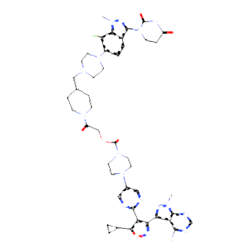 CC(C)n1nc(-c2noc(C3CC3)c2-c2ncc(N3CCN(C(=O)OCC(=O)N4CCC(CN5CCN(c6ccc7c(N8CCC(=O)NC8=O)nn(C)c7c6F)CC5)CC4)CC3)cn2)c2c(N)ncnc21